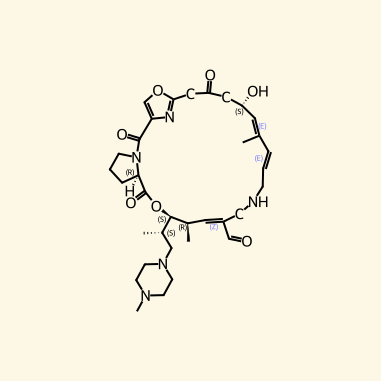 CC1=C\[C@@H](O)CC(=O)Cc2nc(co2)C(=O)N2CCC[C@@H]2C(=O)O[C@H]([C@@H](C)CN2CCN(C)CC2)[C@H](C)/C=C(\C=O)CNC\C=C\1